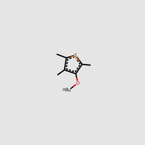 CCCCOc1c(C)sc(C)c1C